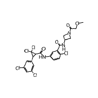 COCC(=O)N1CC(NC(=O)c2cc(NC(=O)C3C(c4cc(Cl)cc(Cl)c4)C3(Cl)Cl)ccc2Cl)C1